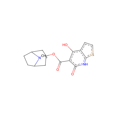 CN1C2CCC1CC(OC(=O)c1c(O)c3ccsc3[nH]c1=O)C2